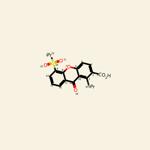 CCCc1c(C(=O)O)ccc2oc3c(S(=O)(=O)C(C)C)cccc3c(=O)c12